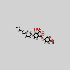 CCCCCC1CCC(c2ccc(C(=O)Oc3ccc(OC)cc3)c(C(=O)O)c2)CC1